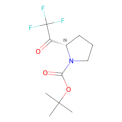 CC(C)(C)OC(=O)N1CCC[C@H]1C(=O)C(F)(F)F